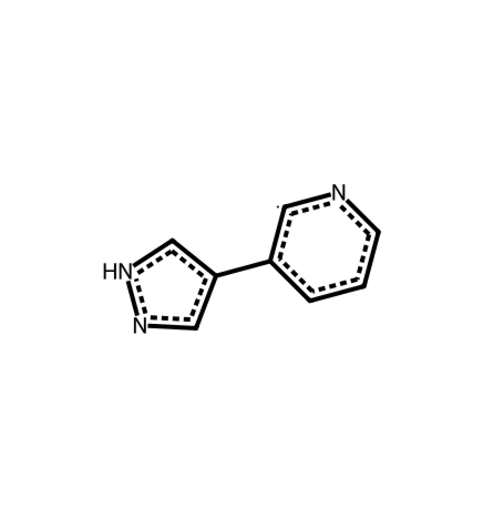 [c]1ncccc1-c1cn[nH]c1